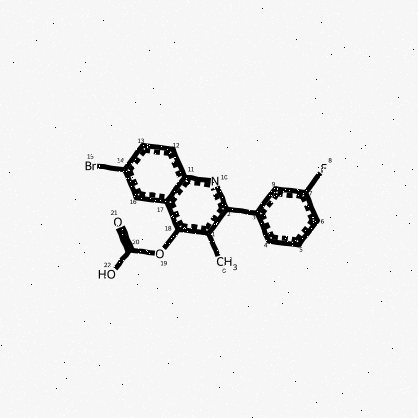 Cc1c(-c2cccc(F)c2)nc2ccc(Br)cc2c1OC(=O)O